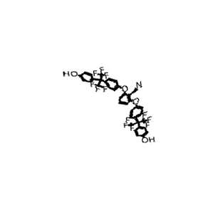 N#Cc1c(Oc2ccc(C(c3ccc(O)cc3)(C(F)(F)F)C(F)(F)F)cc2)cccc1Oc1ccc(C(c2ccc(O)cc2)(C(F)(F)F)C(F)(F)F)cc1